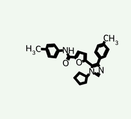 Cc1ccc(NC(=O)c2ccc(-c3c(-c4ccc(C)cc4)ncn3C3CCCC3)o2)cc1